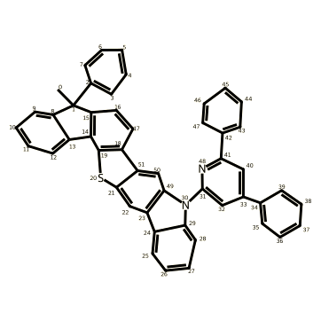 CC1(c2ccccc2)c2ccccc2-c2c1ccc1c2sc2cc3c4ccccc4n(-c4cc(-c5ccccc5)cc(-c5ccccc5)n4)c3cc21